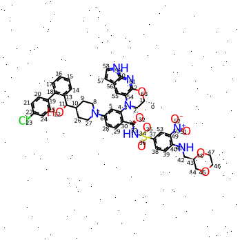 C[C@@H]1CN(c2cc(N3CCC([C@@H](O)c4ccccc4-c4ccc(Cl)cc4)CC3)ccc2C(=O)NS(=O)(=O)c2ccc(NC[C@@H]3COCCO3)c([N+](=O)[O-])c2)c2cc3cc[nH]c3nc2O1